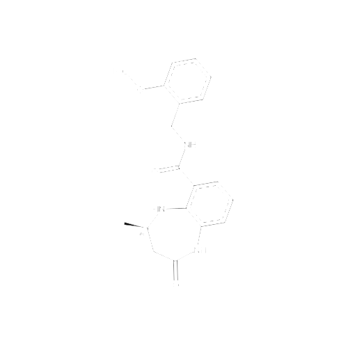 C[C@@H]1CC(=O)Nc2cccc(C(=O)NCc3ccccc3OC(F)(F)F)c2N1